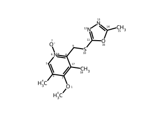 COc1c(C)c[n+]([O-])c(CSc2nnc(C)o2)c1C